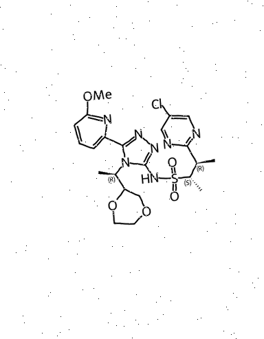 COc1cccc(-c2nnc(NS(=O)(=O)[C@@H](C)[C@H](C)c3ncc(Cl)cn3)n2[C@H](C)C2COCCO2)n1